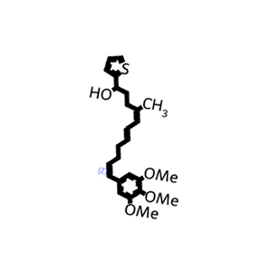 COc1cc(/C=C\CCC=CC=C(C)CCC(O)c2cccs2)cc(OC)c1OC